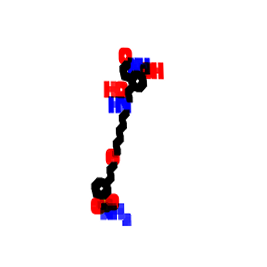 NS(=O)(=O)c1cccc(CCCOCCCCCCCNC[C@@H](O)c2ccc(O)c3[nH]c(=O)ccc23)c1